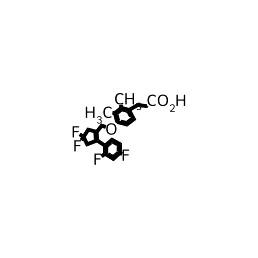 Cc1c(CCC(=O)O)ccc(OCC2=C(c3ccc(F)cc3F)CC(F)(F)C2)c1C